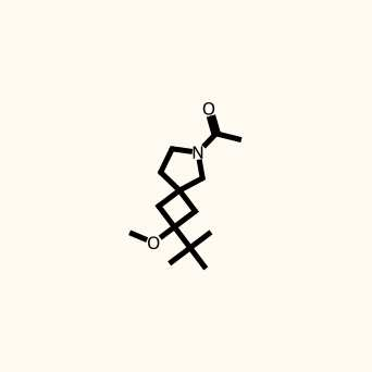 COC1(C(C)(C)C)CC2(CCN(C(C)=O)C2)C1